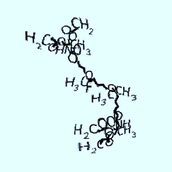 C=CC(=O)OCC(C)(COC(=O)C=C)NC(=O)OCCCCOC(C)(F)CCCCOC(C)(C)CCCCOC(=O)NC(C)(COC(=O)C=C)COC(=O)C=C